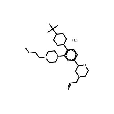 CCCCN1CCN(c2cc(C3CN(CC=O)CCO3)ccc2C2CCC(C(C)(C)C)CC2)CC1.Cl